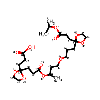 CC(C)OC(=O)CCC1(CCCOCCC(C)OC(=O)CCC2(CCC(=O)O)OCCO2)OCCO1